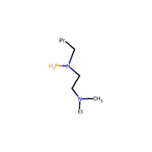 CCN(C)CCN(P)CC(C)C